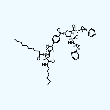 CCCCCCCCCC(=O)NC(C)(Cc1nc(-c2ccc(C(=O)N3C[C@@H](C(=O)N[C@H]4C[C@@H]4c4ccccc4)[C@H](C(=O)N[C@H]4C[C@@H]4c4ccccc4)C3)cc2)no1)C(=O)NCCCCCC